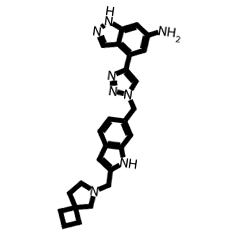 Nc1cc(-c2cn(Cc3ccc4cc(CN5CCC6(CCC6)C5)[nH]c4c3)nn2)c2cn[nH]c2c1